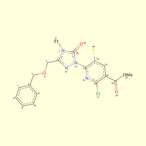 CCn1c(COCc2ccccc2)nn(-c2nc(Cl)c(C(=O)OC)cc2F)c1=O